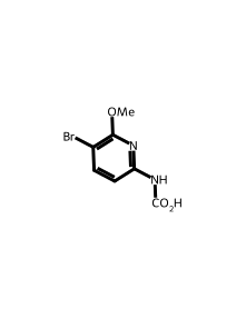 COc1nc(NC(=O)O)ccc1Br